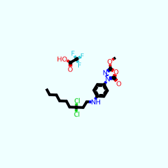 CCCCCCC(Cl)(Cl)CCNc1ccc(-n2nc(OC)oc2=O)cc1.O=C(O)C(F)(F)F